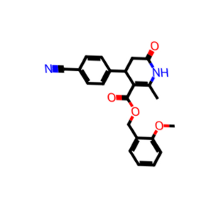 COc1ccccc1COC(=O)C1=C(C)NC(=O)CC1c1ccc(C#N)cc1